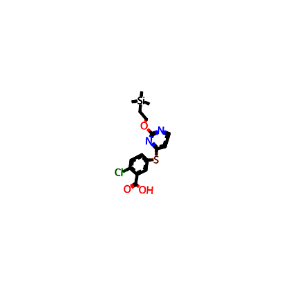 C[Si](C)(C)CCOc1nccc(Sc2ccc(Cl)c(C(=O)O)c2)n1